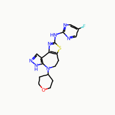 Fc1cnc(Nc2nc3c(s2)CCN(C2CCOCC2)c2[nH]ncc2-3)nc1